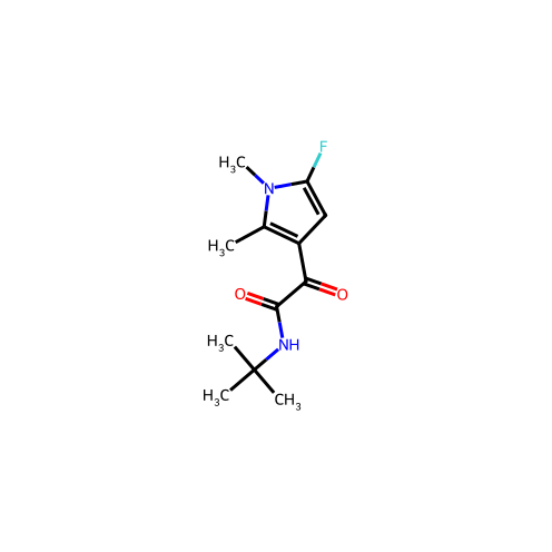 Cc1c(C(=O)C(=O)NC(C)(C)C)cc(F)n1C